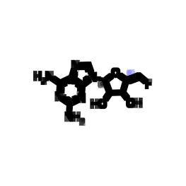 Nc1nc(N)c2ncn([C@@H]3O/C(=C/F)C(O)C3O)c2n1